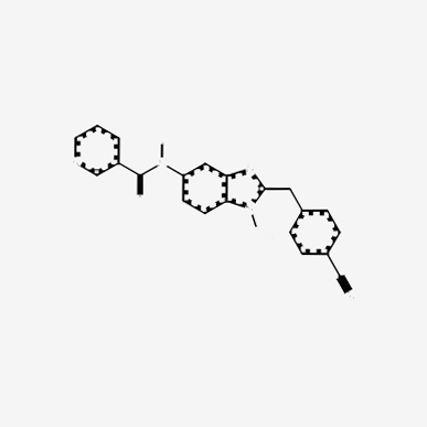 CN(C(=O)c1cccnc1)c1ccc2c(c1)nc(Cc1ccc(C#N)cc1)n2C